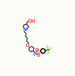 CN(C1CCC(OCCCCCCN2CCC(CO)CC2)CC1)S(=O)(=O)c1ccc(C(F)(F)F)cc1